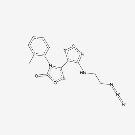 Cc1ccccc1-n1c(-c2nonc2NCCN=[N+]=[N-])noc1=O